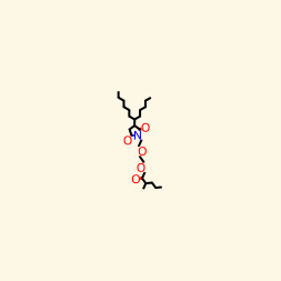 CCCCCCC(CCCCC)C1CC(=O)N(CCOCCOCC(=O)C(C)CCC)C1=O